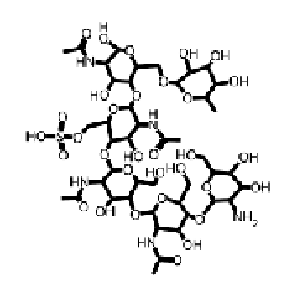 CC(=O)NC1C(O)OC(COC2OC(C)C(O)C(O)C2O)C(OC2OC(COS(=O)(=O)O)C(OC3OC(CO)C(OC4OC(CO)C(OC5OC(CO)C(O)C(O)C5N)C(O)C4NC(C)=O)C(O)C3NC(C)=O)C(O)C2NC(C)=O)C1O